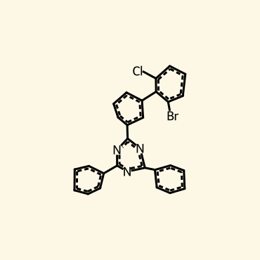 Clc1cccc(Br)c1-c1cccc(-c2nc(-c3ccccc3)nc(-c3ccccc3)n2)c1